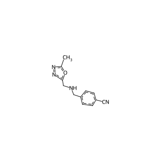 Cc1nnc(CNCc2ccc(C#N)cc2)o1